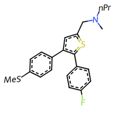 CCCN(C)Cc1cc(-c2ccc(SC)cc2)c(-c2ccc(F)cc2)s1